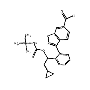 CC(C)(C)NC(=O)OC(CC1CC1)c1ccccc1-c1noc2cc(C(=O)Cl)ccc12